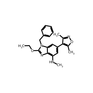 CCOc1nc2c(NC)cc(-c3c(C)noc3C)cc2n1Cc1ccccc1